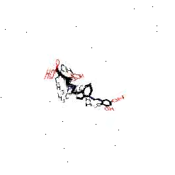 C=C1/C(=C\C=C2/CCC[C@]3(C)[C@@H]([C@H](C)/C=C/[C@H](O)C(C)(C)C(=O)O)CC[C@@H]23)C[C@@H](O)C[C@@H]1O